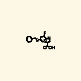 O=C(O)c1cnc2c(F)cc(SCc3ccccc3)cn12